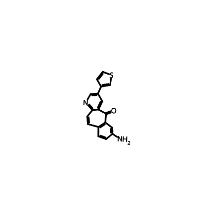 Nc1ccc2ccc3ncc(-c4ccsc4)cc3c(=O)c2c1